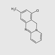 Cc1cc(Cl)c2c(c1)N=C1C=CC=CN1C2